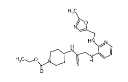 CCOC(=O)N1CCC(NC(=S)CNc2cccnc2NCc2cnc(C)o2)CC1